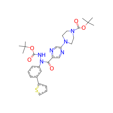 CC(C)(C)OC(=O)NN(C(=O)c1cnc(N2CCN(C(=O)OC(C)(C)C)CC2)cn1)c1cccc(-c2cccs2)c1